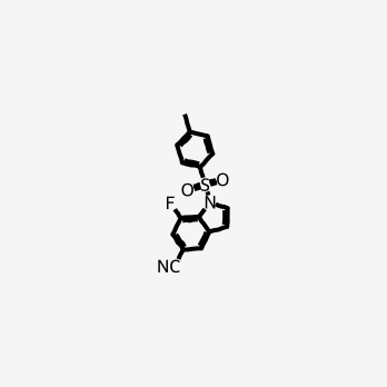 Cc1ccc(S(=O)(=O)n2ccc3cc(C#N)cc(F)c32)cc1